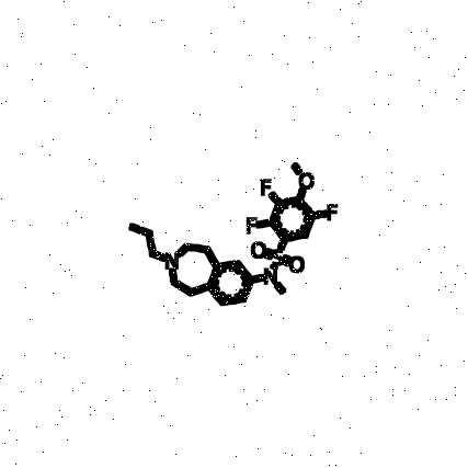 CCCN1CCc2ccc(N(C)S(=O)(=O)c3cc(F)c(OC)c(F)c3F)cc2CC1